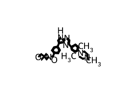 Cc1cc(-c2cnc3[nH]cc(-c4ccc(C(=O)N5CC6(COC6)C5)cc4)c3n2)cc(C)c1N1CCN(C)CC1